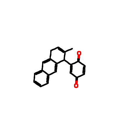 CC1=CCc2cc3ccccc3cc2C1C1=CC(=O)C=CC1=O